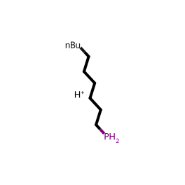 CCCCCCCCCCP.[H+]